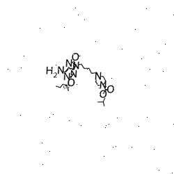 CCC[C@H](C)Oc1nc(N)c2nc(OC)n(CCCCCN3CCN(C(=O)OCC(C)C)CC3)c2n1